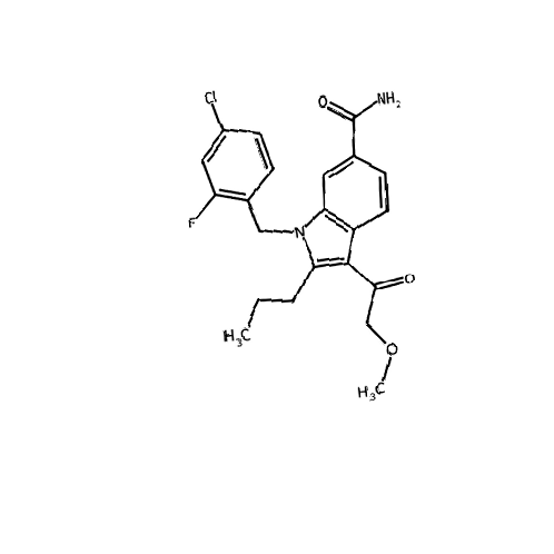 CCCc1c(C(=O)COC)c2ccc(C(N)=O)cc2n1Cc1ccc(Cl)cc1F